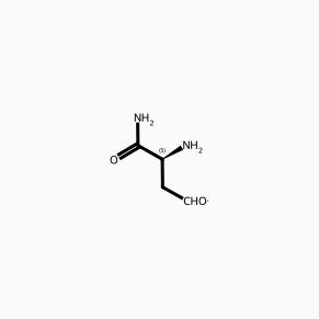 NC(=O)[C@@H](N)C[C]=O